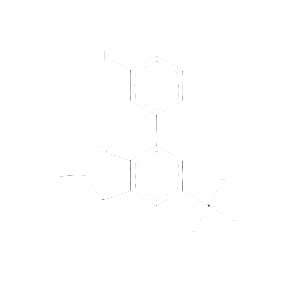 [CH2]C1Cc2cc(C(F)(F)F)cc(-c3cccc(Cl)c3)c2O1